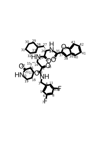 O=C(NCc1cc(F)cc(F)c1)C(=O)[C@H](C[C@@H]1CCCNC1=O)NC(=O)[C@H](CC1CCCCC1)NC(=O)c1cc2ccccc2o1